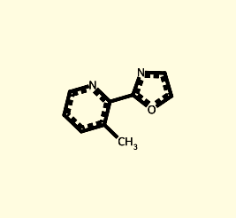 Cc1cccnc1-c1ncco1